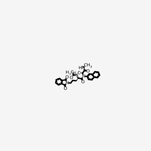 CNC(=O)[C@H](C)N(C(=O)[C@@H](CCCN1C(=O)c2ccccc2C1=O)SC(C)=O)c1ccc2ccccc2c1